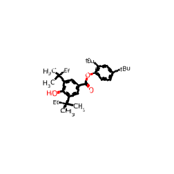 CCC(C)(C)c1cc(C(=O)Oc2ccc(C(C)(C)C)cc2C(C)(C)C)cc(C(C)(C)CC)c1O